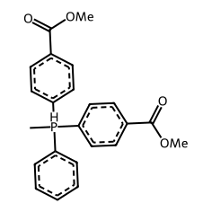 COC(=O)c1ccc([PH](C)(c2ccccc2)c2ccc(C(=O)OC)cc2)cc1